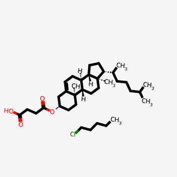 CC(C)CCCC(C)[C@H]1CC[C@H]2[C@@H]3CC=C4C[C@@H](OC(=O)CCC(=O)O)CC[C@]4(C)[C@H]3CC[C@]12C.CCCCCCl